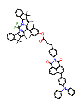 CC1=C2C(c3ccccc3C2(C)C)N2C1=C(c1c(C)cc(OC(=O)CCCc3ccc(N4C(=O)c5cccc6c(-c7ccc(N(c8ccccc8)c8ccccc8)cc7)ccc(c56)C4=O)cc3)cc1C)c1c(C)c3c(n1[B-]2(F)F)-c1ccccc1C3(C)C